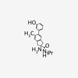 Cc1cc2c(cc1-c1cccc(O)c1)CC(N)(C(=O)NC(C)C)C2